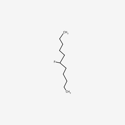 CCCCCC(F)CCCCC